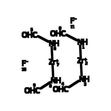 O=C[NH][Zr+][NH]C=O.O=C[NH][Zr+][NH]C=O.[F-].[F-]